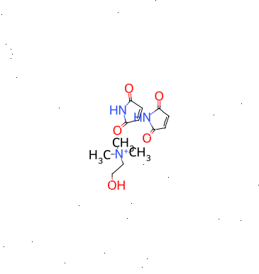 C[N+](C)(C)CCO.O=C1C=CC(=O)N1.O=C1C=CC(=O)N1